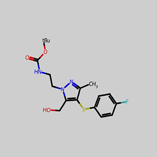 Cc1nn(CCNC(=O)OC(C)(C)C)c(CO)c1Sc1ccc(F)cc1